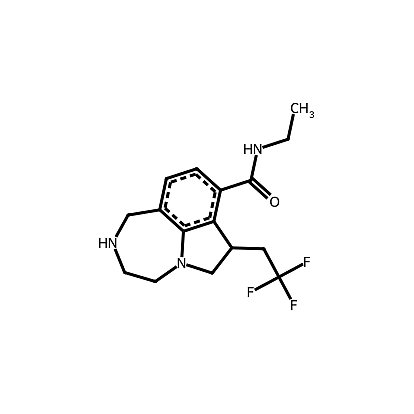 CCNC(=O)c1ccc2c3c1C(CC(F)(F)F)CN3CCNC2